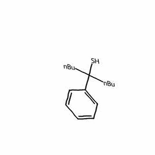 CCCCC(S)(CCCC)c1ccccc1